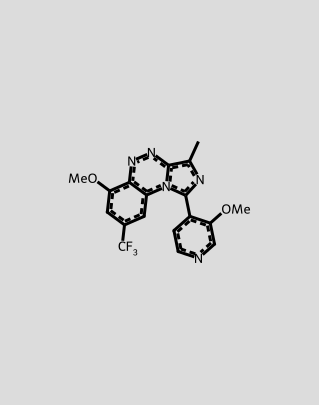 COc1cnccc1-c1nc(C)c2nnc3c(OC)cc(C(F)(F)F)cc3n12